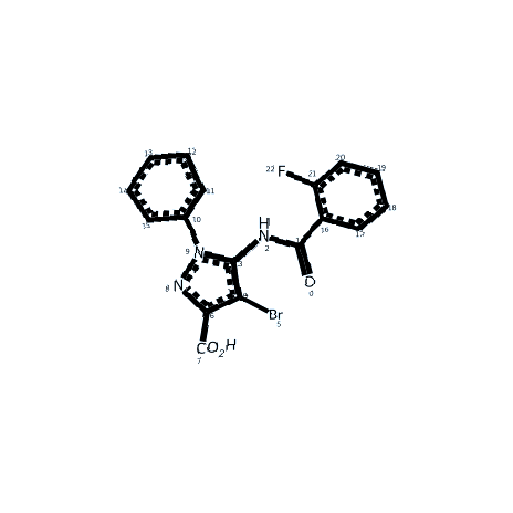 O=C(Nc1c(Br)c(C(=O)O)nn1-c1ccccc1)c1ccccc1F